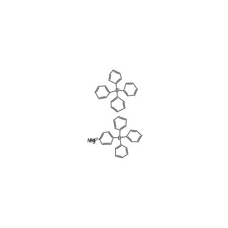 F.[Mg+2].c1ccc([B-](c2ccccc2)(c2ccccc2)c2ccccc2)cc1.c1ccc([B-](c2ccccc2)(c2ccccc2)c2ccccc2)cc1